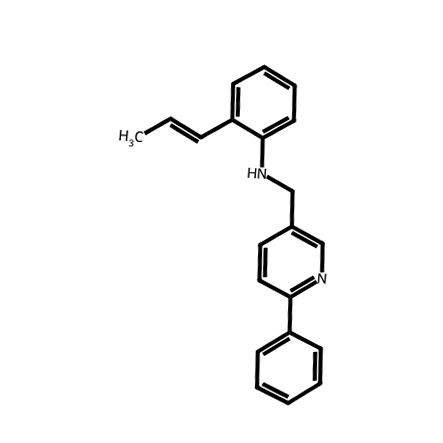 C/C=C/c1ccccc1NCc1ccc(-c2ccccc2)nc1